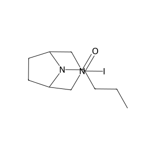 CCCC(=O)N1C2CCC1CN(I)C2